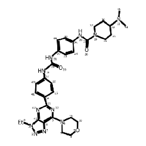 CCn1nnc2c(N3CCOCC3)nc(-c3ccc(NC(=O)Nc4ccc(NC(=O)N5CCC(N(C)C)CC5)cc4)cc3)nc21